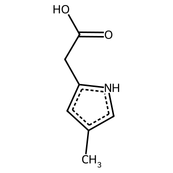 Cc1c[nH]c(CC(=O)O)c1